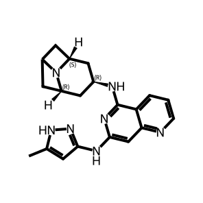 Cc1cc(Nc2cc3ncccc3c(N[C@@H]3C[C@H]4CC5C[C@@H](C3)N54)n2)n[nH]1